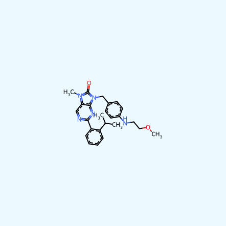 COCCNc1ccc(Cn2c(=O)n(C)c3cnc(-c4ccccc4C(C)C)nc32)cc1